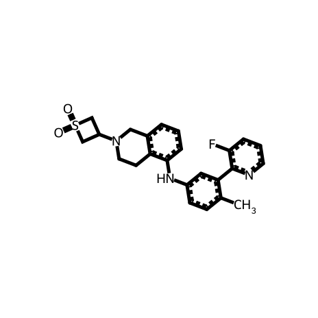 Cc1ccc(Nc2cccc3c2CCN(C2CS(=O)(=O)C2)C3)cc1-c1ncccc1F